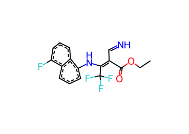 CCOC(=O)/C(C=N)=C(/Nc1cccc2c(F)cccc12)C(F)(F)F